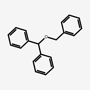 c1ccc(CO[C](c2ccccc2)c2ccccc2)cc1